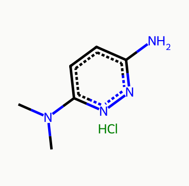 CN(C)c1ccc(N)nn1.Cl